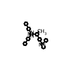 Cc1cc(-c2ccc(-c3nc4ccccn4c3-c3ccccc3)cc2)cc(-c2nc(-c3ccc(-c4ccccc4)cc3)nc(-c3ccc(-c4ccccc4)cc3)n2)c1